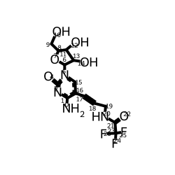 Nc1nc(=O)n(C2OC(CO)C(O)C2O)cc1C#CCNC(=O)C(F)(F)F